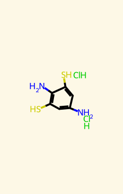 Cl.Cl.Nc1cc(S)c(N)c(S)c1